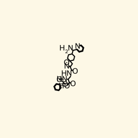 NC(c1ccccn1)C1CCC2(CC1)CC(C(=O)NCC(NS(=O)(=O)c1ccccc1)C(=O)O)=NO2